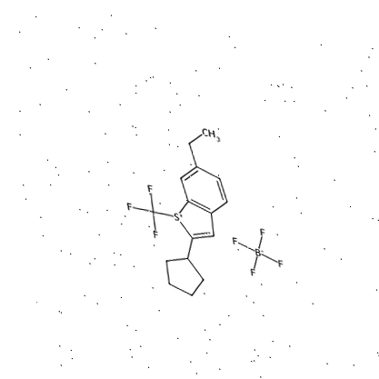 CCc1ccc2cc(C3CCCC3)[s+](C(F)(F)F)c2c1.F[B-](F)(F)F